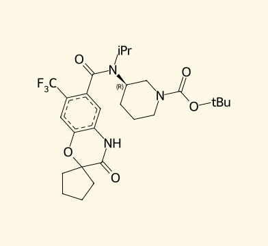 CC(C)N(C(=O)c1cc2c(cc1C(F)(F)F)OC1(CCCC1)C(=O)N2)[C@@H]1CCCN(C(=O)OC(C)(C)C)C1